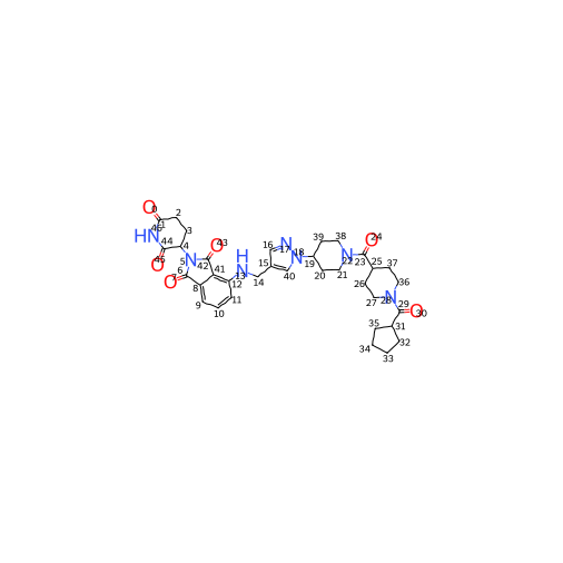 O=C1CCC(N2C(=O)c3cccc(NCc4cnn(C5CCN(C(=O)C6CCN(C(=O)C7CCCC7)CC6)CC5)c4)c3C2=O)C(=O)N1